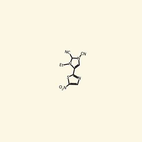 CCN1C(c2ncc([N+](=O)[O-])s2)=CN(C#N)C1C#N